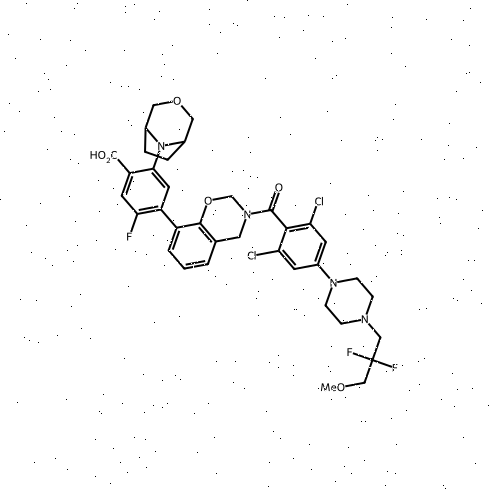 COCC(F)(F)CN1CCN(c2cc(Cl)c(C(=O)N3COc4c(cccc4-c4cc(N5C6CCC5COC6)c(C(=O)O)cc4F)C3)c(Cl)c2)CC1